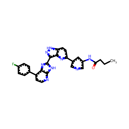 CCCC(=O)Nc1cncc(-c2ccc3[nH]nc(-c4nc5c(-c6ccc(F)cc6)ccnc5[nH]4)c3n2)c1